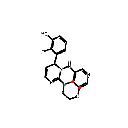 Oc1cccc(C2C=CN=C(N3CCOCC3)N2Nc2cccnc2)c1F